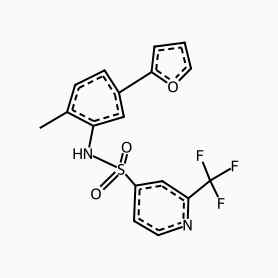 Cc1ccc(-c2ccco2)cc1NS(=O)(=O)c1ccnc(C(F)(F)F)c1